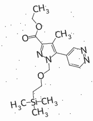 CCOC(=O)c1nn(COCC[Si](C)(C)C)c(-c2ccnnc2)c1C